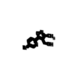 Cc1noc(-c2ccc(Br)cn2)c1CO